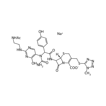 CC(=O)NCCNc1ncc(N(C(N)=O)C(C(=O)NC2C(=O)N3C(C(=O)[O-])=C(CSc4nnnn4C)CS[C@@H]23)c2ccc(O)cc2)c(O)n1.[Na+]